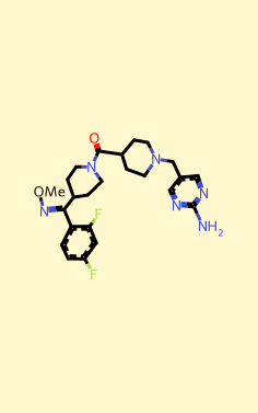 CON=C(c1ccc(F)cc1F)C1CCN(C(=O)C2CCN(Cc3cnc(N)nc3)CC2)CC1